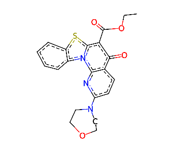 CCOC(=O)c1c(=O)c2ccc(N3CCOCC3)nc2n2c1sc1ccccc12